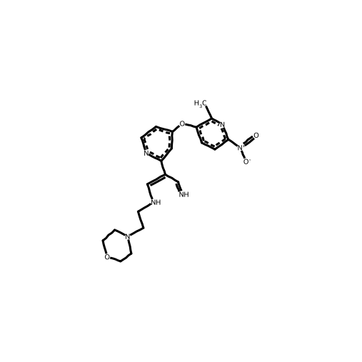 Cc1nc([N+](=O)[O-])ccc1Oc1ccnc(/C(C=N)=C/NCCN2CCOCC2)c1